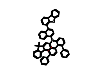 CC1(C)c2ccccc2-c2ccc(N(c3cccc(-c4ccccc4)c3-c3ccc(-c4ccccc4)cc3)c3ccc(-c4cccc5c4oc4ccccc45)c4ccccc34)cc21